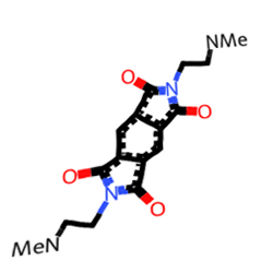 CNCCn1c(=O)c2cc3c(=O)n(CCNC)c(=O)c3cc2c1=O